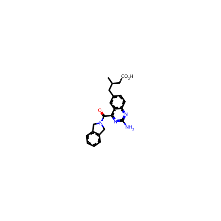 CC(CC(=O)O)Cc1ccc2nc(N)nc(C(=O)N3Cc4ccccc4C3)c2c1